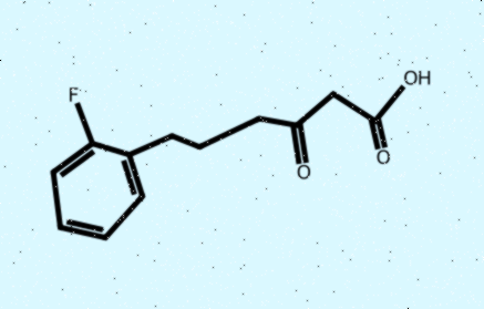 O=C(O)CC(=O)CCCc1ccccc1F